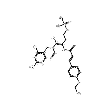 CCOc1ccc(/C=C/C(=O)S/C(CCOP(=O)(O)O)=C(/C)N(C=O)Cc2cnc(C)nc2N)cc1